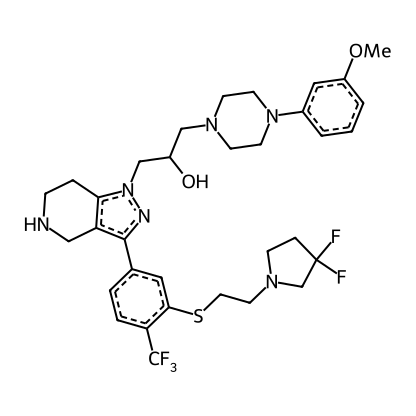 COc1cccc(N2CCN(CC(O)Cn3nc(-c4ccc(C(F)(F)F)c(SCCN5CCC(F)(F)C5)c4)c4c3CCNC4)CC2)c1